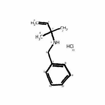 C=CC(C)(C)NCc1ccccc1.Cl